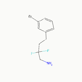 CCc1cccc(CCC(F)(F)CN)c1